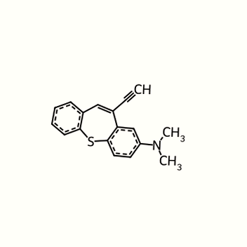 C#CC1=Cc2ccccc2Sc2ccc(N(C)C)cc21